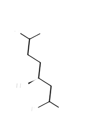 OC(O)CC[C@H](O)CC(O)S